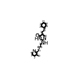 Cc1cccnc1CSCCNc1ncc(CCc2ccccc2)c(=O)[nH]1